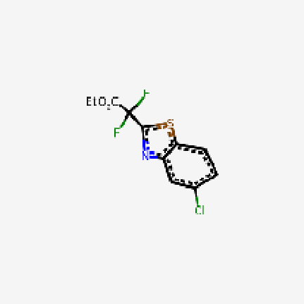 CCOC(=O)C(F)(F)c1nc2cc(Cl)ccc2s1